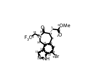 COC(=O)C[C@@H]1Cc2cc(Br)c3[nH]ncc3c2CN(CC(F)(F)F)C1=O